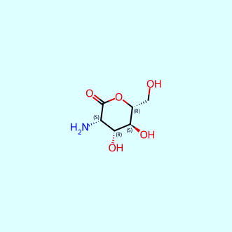 N[C@@H]1C(=O)O[C@H](CO)[C@@H](O)[C@@H]1O